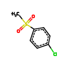 [CH2]S(=O)(=O)c1ccc(Cl)cc1